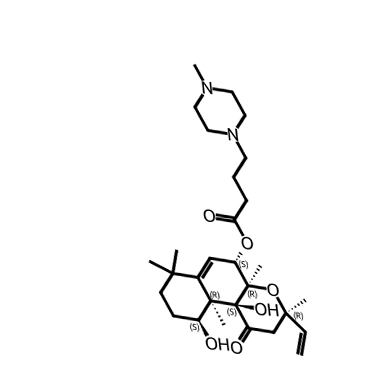 C=C[C@@]1(C)CC(=O)[C@@]2(O)[C@](C)(O1)[C@@H](OC(=O)CCCN1CCN(C)CC1)C=C1C(C)(C)CC[C@H](O)[C@@]12C